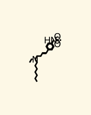 CCCCCCCN(CC)CCC=Cc1ccc(NS(C)(=O)=O)cc1